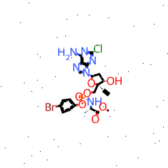 C#C[C@]1(CO[P@@](=O)(N[C@@H](C)C(=O)OC)Oc2ccc(Br)cc2)O[C@@H](n2cnc3c(N)nc(Cl)nc32)C[C@@H]1O